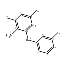 Cc1[c]ccc(Nc2nc(C)cc(C)c2N)c1